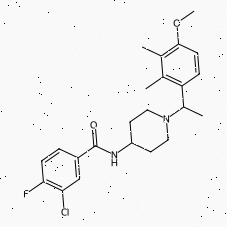 COc1ccc(C(C)N2CCC(NC(=O)c3ccc(F)c(Cl)c3)CC2)c(C)c1C